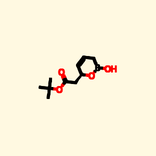 CC(C)(C)OC(=O)C[C@H]1C=CCB(O)O1